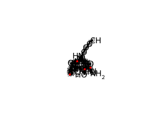 C#CCOCCOCCOCCNc1nc(N2CCN(C(=O)[C@H](CCCCN)n3cc([C@@H](N)CO)nn3)CC2)nc(N2CCN(C(=O)[C@H](Cc3cc4ccccc4[nH]3)n3cc([C@@H](N)CO)nn3)CC2)n1.Cl